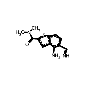 CN(C)C(=O)c1cc2c(N)c(C=N)ccc2s1